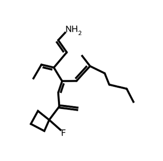 C=C(/C=C(\C=C(/C)CCCC)C(=C\C)/C=C/N)C1(F)CCC1